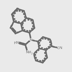 N#Cc1ccc(N(C(=N)N)c2ccc3cccc4c3c2C=C4)c2ccccc12